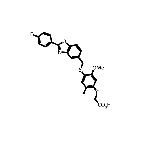 COc1cc(OCC(=O)O)c(C)cc1SCc1ccc2oc(-c3ccc(F)cc3)nc2c1